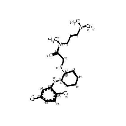 CN(C)CCCN(C)C(=O)CS[C@@H]1CCCC[C@H]1Sc1cc(Cl)ccc1Cl